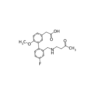 COc1ccc(CC(=O)O)cc1-c1ccc(F)cc1CNCCC(C)=O